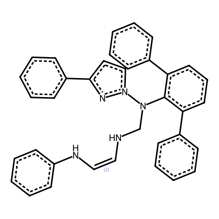 C(=C/Nc1ccccc1)/NCN(c1c(-c2ccccc2)cccc1-c1ccccc1)n1ccc(-c2ccccc2)n1